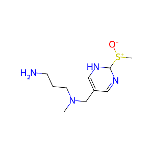 CN(CCCN)CC1=CNC([S+](C)[O-])N=C1